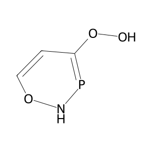 OOC1=PNOC=C1